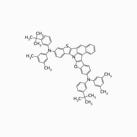 Cc1cc(C)cc(N(c2cccc(C(C)(C)C)c2)c2ccc3c(c2)oc2c3c3c4ccccc4cc4c5sc6cc(N(c7cc(C)cc(C)c7)c7cccc(C(C)(C)C)c7)ccc6c5n2c43)c1